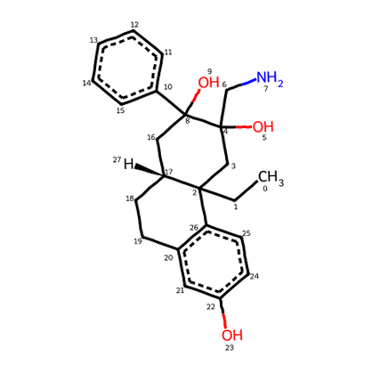 CCC12CC(O)(CN)C(O)(c3ccccc3)C[C@H]1CCc1cc(O)ccc12